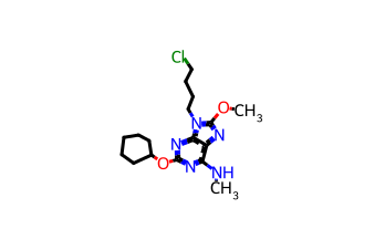 CNc1nc(OC2CCCCC2)nc2c1nc(OC)n2CCCCCl